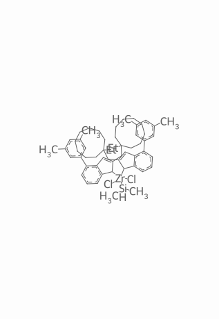 CCC1(CC2=Cc3c(-c4cc(C)cc(C)c4)cccc3[CH]2[Zr]([Cl])([Cl])([CH]2C(CC3(CC)CCCCCCCC3)=Cc3c(-c4cc(C)cc(C)c4)cccc32)[SiH](C)C)CCCCCCCC1